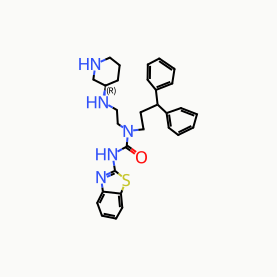 O=C(Nc1nc2ccccc2s1)N(CCN[C@@H]1CCCNC1)CCC(c1ccccc1)c1ccccc1